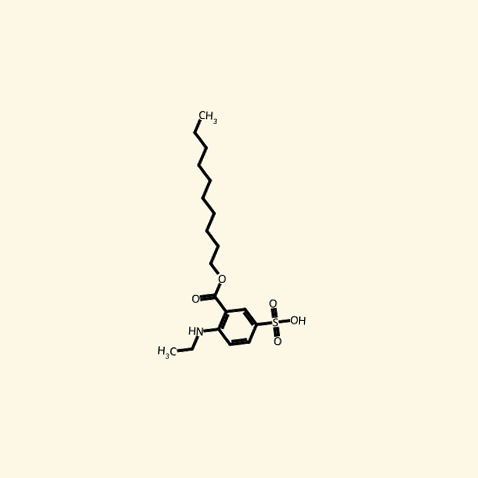 CCCCCCCCCCOC(=O)c1cc(S(=O)(=O)O)ccc1NCC